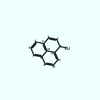 [Li][CH]1C=Cc2cccc3cccc1c23